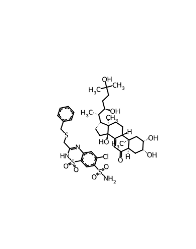 C[C@H]([C@H](O)CCC(C)(C)O)[C@H]1CC[C@@]2(O)C3=CC(=O)[C@@H]4C[C@@H](O)[C@@H](O)C[C@]4(C)[C@H]3CC[C@]12C.NS(=O)(=O)c1cc2c(cc1Cl)N=C(CSCc1ccccc1)NS2(=O)=O